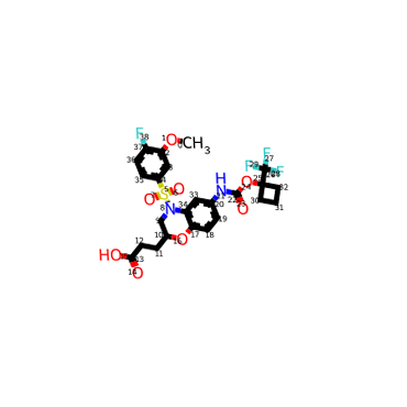 COc1cc(S(=O)(=O)N2CC(CCC(=O)O)Oc3ccc(NC(=O)OC4(C(F)(F)F)CCC4)cc32)ccc1F